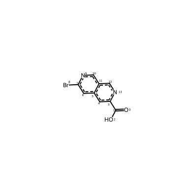 O=C(O)c1cc2cc(Br)ncc2cn1